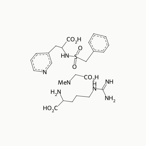 CNCC(=O)O.N=C(N)NCCCC(N)C(=O)O.O=C(O)C(Cc1cccnc1)NS(=O)(=O)Cc1ccccc1